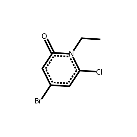 CCn1c(Cl)cc(Br)cc1=O